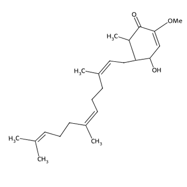 COC1=CC(O)C(CC=C(C)CCC=C(C)CCC=C(C)C)C(C)C1=O